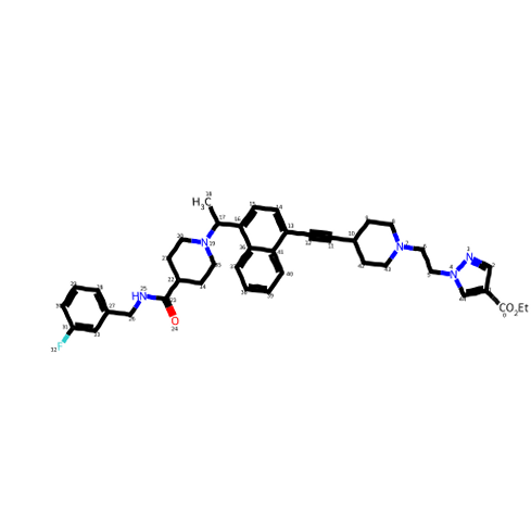 CCOC(=O)c1cnn(CCN2CCC(C#Cc3ccc(C(C)N4CCC(C(=O)NCc5cccc(F)c5)CC4)c4ccccc34)CC2)c1